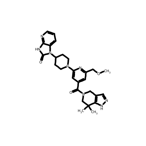 COCc1cc(C(=O)N2Cc3cn[nH]c3C(C)(C)C2)cc(N2CCC(n3c(=O)[nH]c4ncccc43)CC2)n1